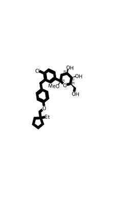 CCC1(COc2ccc(Cc3cc([C@@]4(OC)C[C@@H](O)[C@H](O)[C@@H](CO)O4)ccc3Cl)cc2)CCCC1